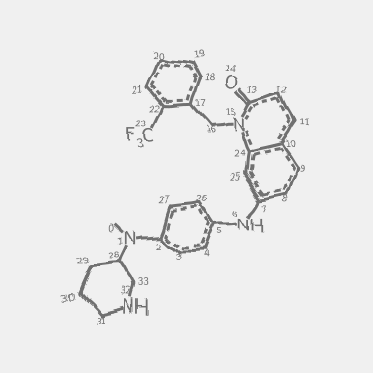 CN(c1ccc(Nc2ccc3ccc(=O)n(Cc4ccccc4C(F)(F)F)c3c2)cc1)C1CCCNC1